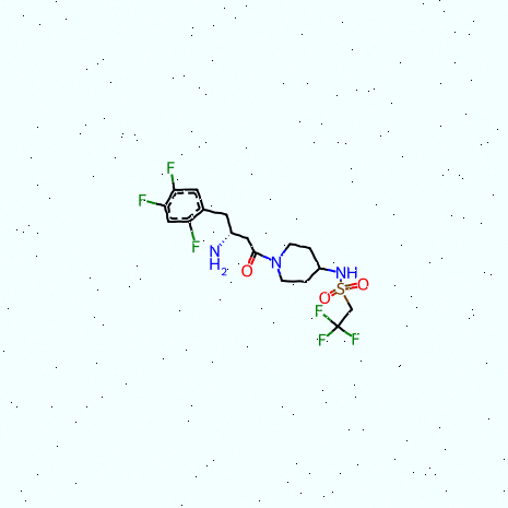 N[C@@H](CC(=O)N1CCC(NS(=O)(=O)CC(F)(F)F)CC1)Cc1cc(F)c(F)cc1F